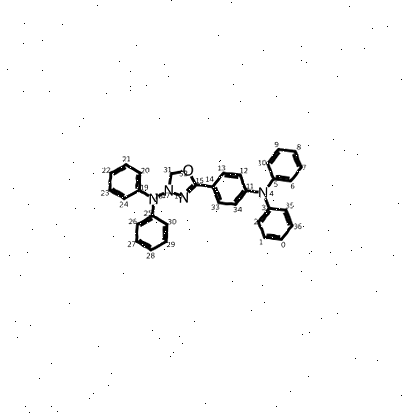 c1ccc(N(c2ccccc2)c2ccc(C3=NN(N(c4ccccc4)c4ccccc4)CO3)cc2)cc1